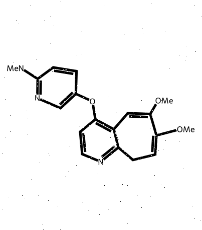 CNc1ccc(Oc2ccnc3c2C=C(OC)C(OC)=CC3)cn1